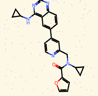 O=C(c1ccco1)N(Cc1cc(-c2ccc3ncnc(NC4CC4)c3c2)ccn1)C1CC1